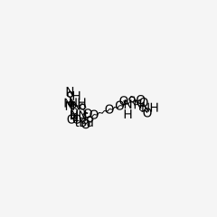 CC(C)(C)OC(=O)N1CCC(Nc2cccc(C(=O)NC3CCOc4ccc(OCCCCCOCCCOCC(=O)Nc5cccc6c5CN(C5CCC(=O)NC5=O)C6=O)cc43)c2)(c2nnc(-c3ccncc3)[nH]2)CC1